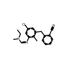 CCN(C)/C=N\c1cc(Cl)cc(Cc2ccccc2C#N)c1C